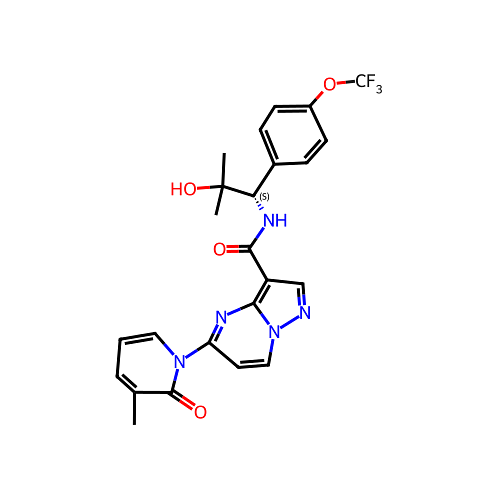 Cc1cccn(-c2ccn3ncc(C(=O)N[C@@H](c4ccc(OC(F)(F)F)cc4)C(C)(C)O)c3n2)c1=O